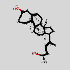 CC(CC[C@H](O)C(C)C)C1CC[C@H]2[C@@H]3CC=C4CC(O)CC[C@]4(C)[C@H]3CC[C@]12C